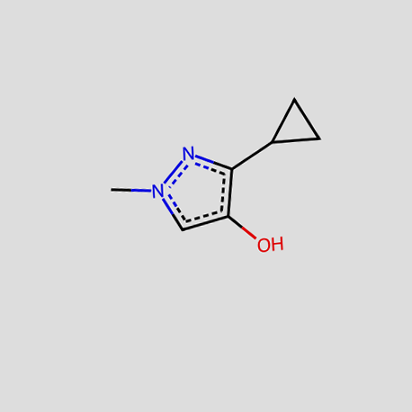 Cn1cc(O)c(C2CC2)n1